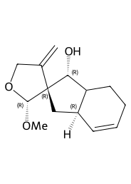 C=C1CO[C@@H](OC)[C@]12C[C@@H]1C=CCCC1[C@H]2O